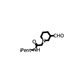 CCCC(C)NC(=O)CN1CCCC(C=O)C1